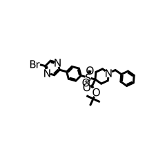 CC(C)(C)OC(=O)C1(S(=O)(=O)c2ccc(-c3cnc(Br)cn3)cc2)CCN(Cc2ccccc2)CC1